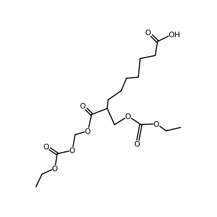 CCOC(=O)OCOC(=O)C(CCCCCCC(=O)O)COC(=O)OCC